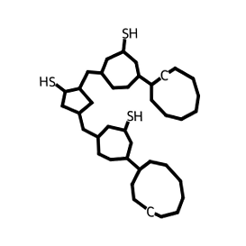 SC1CC(CC2CC(S)C(CC3CCC(C4CCCCCCCC4)CC(S)C3)C2)CCC(C2CCCCCCCCC2)C1